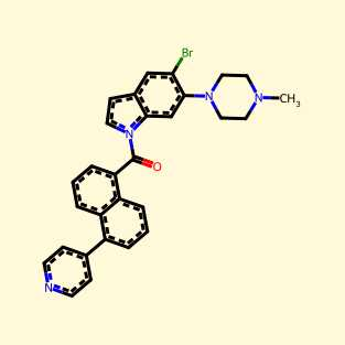 CN1CCN(c2cc3c(ccn3C(=O)c3cccc4c(-c5ccncc5)cccc34)cc2Br)CC1